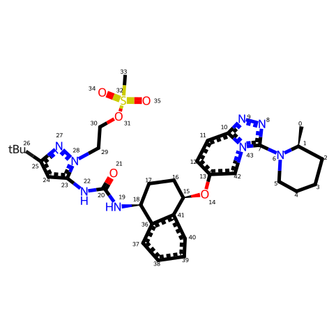 C[C@H]1CCCCN1c1nnc2ccc(O[C@@H]3CC[C@H](NC(=O)Nc4cc(C(C)(C)C)nn4CCOS(C)(=O)=O)c4ccccc43)cn12